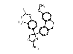 COc1ccc(F)c(-c2cc(C3(c4ccc(OC(F)F)c(C)c4)COC(N)=N3)ccc2F)c1